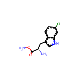 NOC(=O)[C@@H](N)Cc1c[nH]c2cc(Cl)ccc12